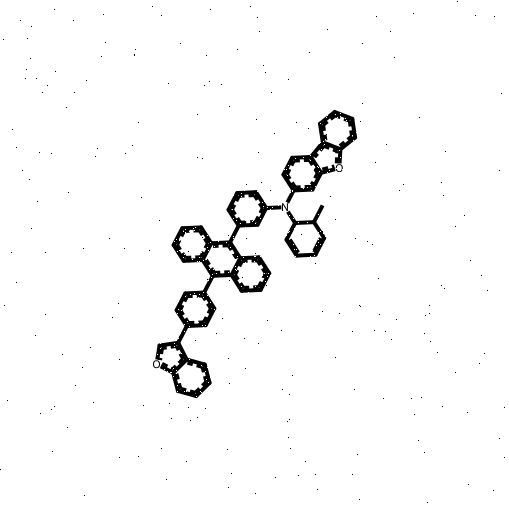 CC1C=CC=CC1N(c1cccc(-c2c3ccccc3c(-c3ccc(-c4coc5ccccc45)cc3)c3ccccc23)c1)c1ccc2c(c1)oc1ccccc12